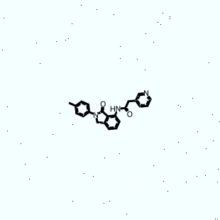 Cc1ccc(N2Cc3cccc(NC(=O)Cc4cccnc4)c3C2=O)cc1